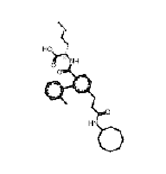 CSCC[C@H](NC(=O)c1ccc(CCC(=O)NC2CCCCCCC2)cc1-c1ccccc1C)C(=O)O